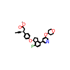 CC#C[C@@H](CC(=O)OC)c1ccc(O[C@@H]2CCc3c(-c4cncc(OC5CCOCC5)c4)ccc(F)c32)cc1